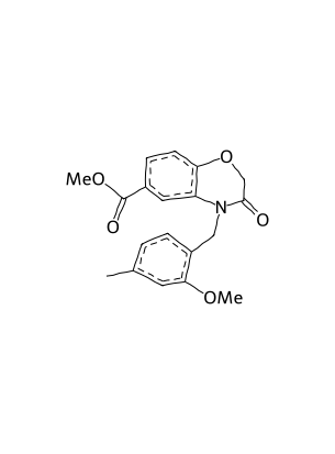 COC(=O)c1ccc2c(c1)N(Cc1ccc(C)cc1OC)C(=O)CO2